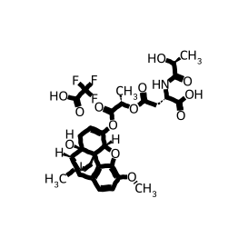 COc1ccc2c3c1O[C@H]1C(OC(=O)[C@H](C)OC(=O)C[C@H](NC(=O)[C@H](C)O)C(=O)O)=CC[C@@]4(O)[C@@H](C2)N(C)CC[C@]314.O=C(O)C(F)(F)F